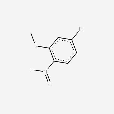 CSc1cc(Br)ccc1[N+](=O)[O-]